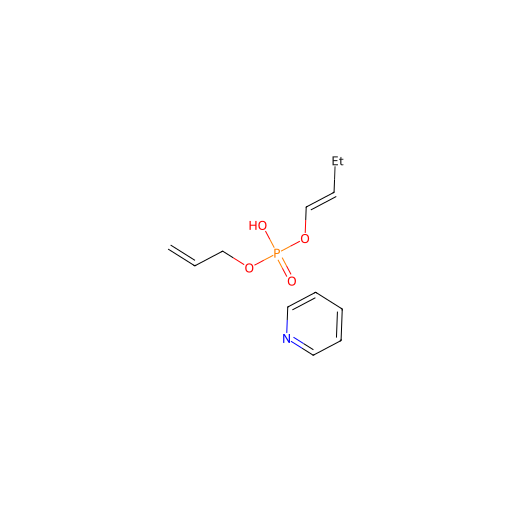 C=CCOP(=O)(O)O/C=C/CC.c1ccncc1